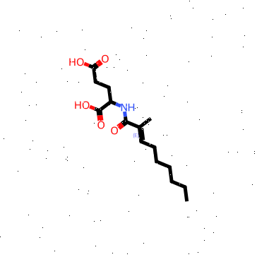 CCCCCC/C=C(\C)C(=O)NC(CCC(=O)O)C(=O)O